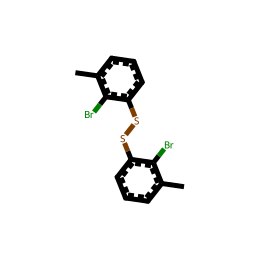 Cc1cccc(SSc2cccc(C)c2Br)c1Br